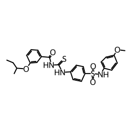 CCC(C)Oc1cccc(C(=O)NC(=S)Nc2ccc(S(=O)(=O)Nc3ccc(OC)cc3)cc2)c1